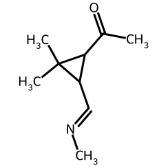 CN=CC1C(C(C)=O)C1(C)C